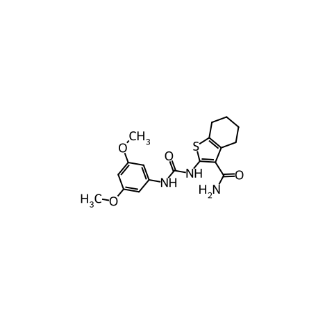 COc1cc(NC(=O)Nc2sc3c(c2C(N)=O)CCCC3)cc(OC)c1